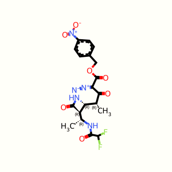 C[C@@H](NC(=O)C(F)F)[C@H]1C(=O)N[C@@H]1[C@@H](C)C(=O)C(=[N+]=[N-])C(=O)OCc1ccc([N+](=O)[O-])cc1